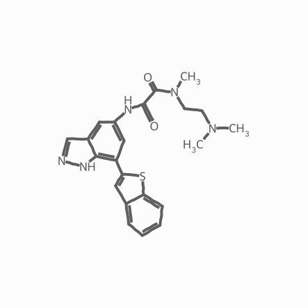 CN(C)CCN(C)C(=O)C(=O)Nc1cc(-c2cc3ccccc3s2)c2[nH]ncc2c1